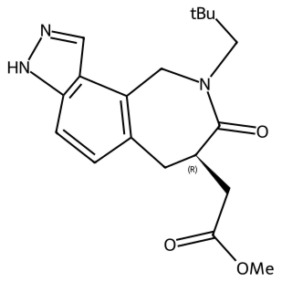 COC(=O)C[C@H]1Cc2ccc3[nH]ncc3c2CN(CC(C)(C)C)C1=O